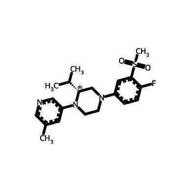 Cc1cncc(N2CCN(c3ccc(F)c(S(C)(=O)=O)c3)C[C@H]2C(C)C)c1